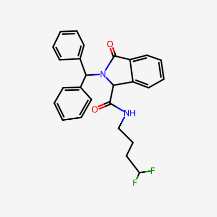 O=C(NCCCC(F)F)C1c2ccccc2C(=O)N1C(c1ccccc1)c1ccccc1